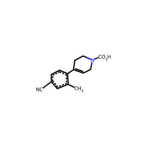 Cc1cc(C#N)ccc1C1=CCN(C(=O)O)CC1